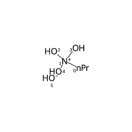 CCC[N+](O)(O)O.[OH-]